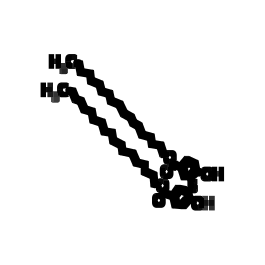 CCCCCCCCCCCCCCCCCCCOC(=O)c1ccc(O)c(Sc2cc(C(=O)OCCCCCCCCCCCCCCCCCCC)ccc2O)c1